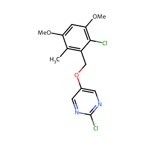 COc1cc(OC)c(Cl)c(COc2cnc(Cl)nc2)c1C